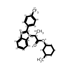 CC1CCCC(OC(=O)[C@@H](C)n2c(-c3ccc(C(F)(F)F)cc3)nc3ccccc32)C1